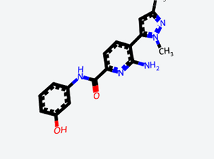 Cn1nc(C(F)(F)F)cc1-c1ccc(C(=O)Nc2cccc(O)c2)nc1N